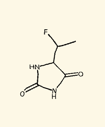 CC(F)C1NC(=O)NC1=O